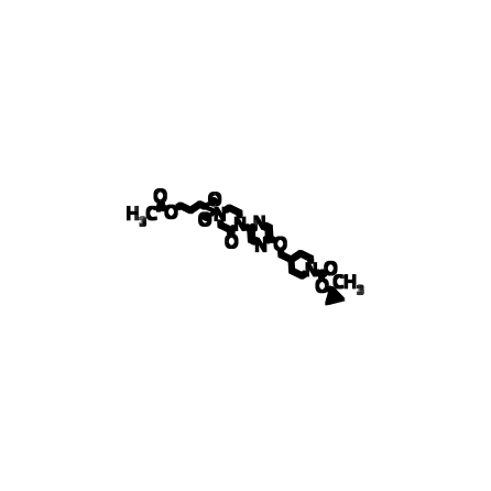 CC(=O)OCCCS(=O)(=O)N1CCN(c2cnc(OCC3CCN(C(=O)OC4(C)CC4)CC3)cn2)C(=O)C1